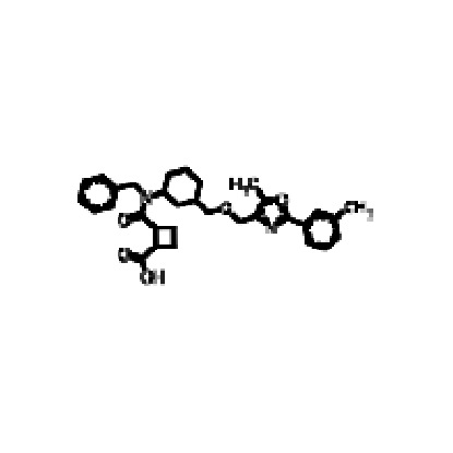 Cc1cccc(-c2nc(COCC3CCCC(N(Cc4ccccc4)C(=O)C4CCC4C(=O)O)C3)c(C)o2)c1